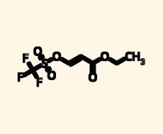 CCOC(=O)C=COS(=O)(=O)C(F)(F)F